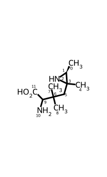 C[C@@H]1NC1(C)CC(C)(C)C(N)C(=O)O